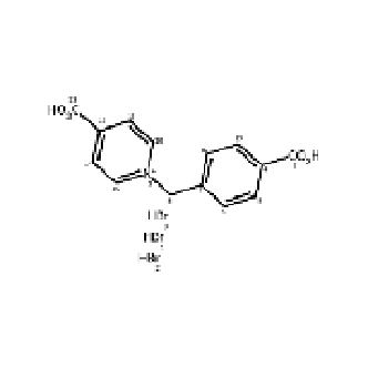 Br.Br.Br.O=C(O)c1ccc(C[n+]2ccc(C(=O)O)cc2)cc1